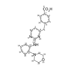 O=C(O)c1ccc(Cc2ccnc(Nc3ccccc3N3CCOCC3)n2)cc1